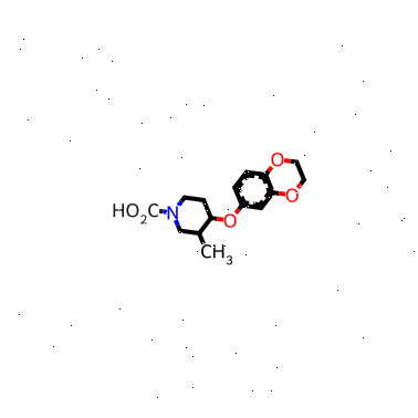 CC1CN(C(=O)O)CCC1Oc1ccc2c(c1)OCCO2